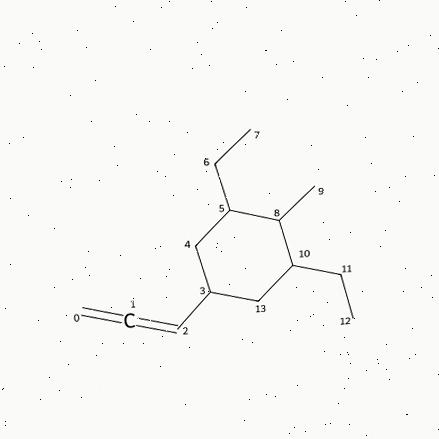 C=C=CC1CC(CC)C(C)C(CC)C1